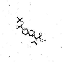 CC(C)[C@@H](C(=O)O)N1CC[C@@]2(CCN(C(=O)OC(C)(C)C)C2)C1